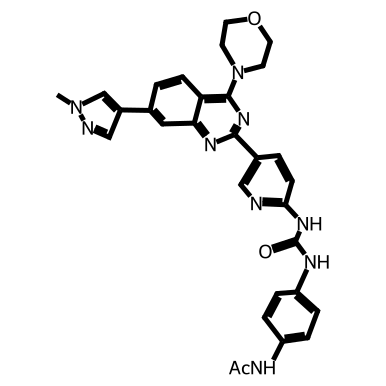 CC(=O)Nc1ccc(NC(=O)Nc2ccc(-c3nc(N4CCOCC4)c4ccc(-c5cnn(C)c5)cc4n3)cn2)cc1